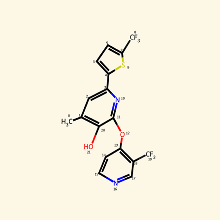 Cc1cc(-c2ccc(C(F)(F)F)s2)nc(Oc2ccncc2C(F)(F)F)c1O